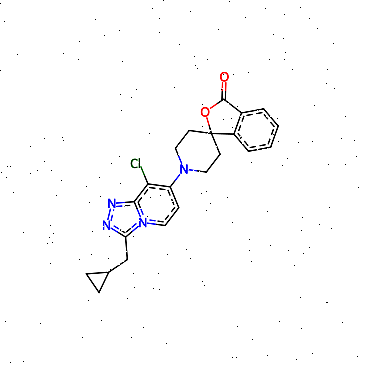 O=C1OC2(CCN(c3ccn4c(CC5CC5)nnc4c3Cl)CC2)c2ccccc21